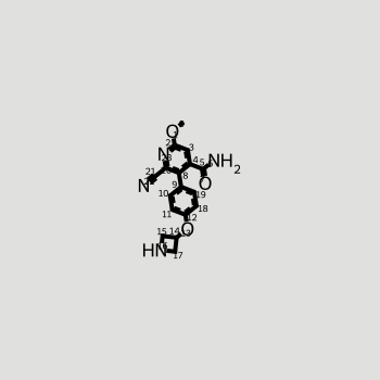 COc1cc(C(N)=O)c(-c2ccc(OC3CNC3)cc2)c(C#N)n1